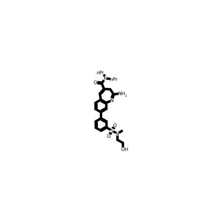 CCCN(CCC)C(=O)C1=Cc2ccc(-c3cccc(S(=O)(=O)N(C)CCO)c3)cc2N=C(N)C1